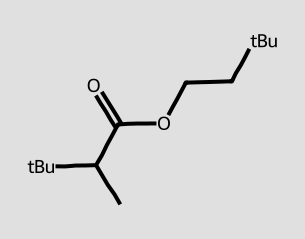 CC(C(=O)OCCC(C)(C)C)C(C)(C)C